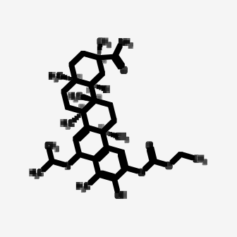 CCOC(=O)Oc1cc2c(c(C)c1O)C(SC(C)C)C=C1[C@@]2(C)CC[C@@]2(C)[C@@H]3C[C@](C)(C(N)=O)CC[C@]3(C)CC[C@]12C